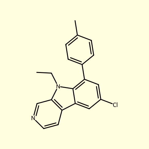 CCn1c2cnccc2c2cc(Cl)cc(-c3ccc(C)cc3)c21